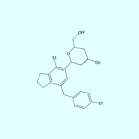 CCc1ccc(Cc2cc(C3CC(O)CC(CO)O3)c(CC)c3c2CCC3)cc1